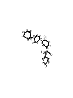 O=C(Nc1ccc(F)nc1)c1ccc(Cl)c(-c2ccc(-c3ccccc3)cc2)c1